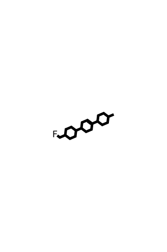 CC1CCC(C2=CCC(C3CCC(CF)CC3)CC2)CC1